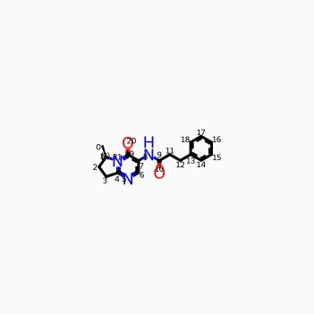 C[C@@H]1CCc2ncc(NC(=O)CCc3ccccc3)c(=O)n21